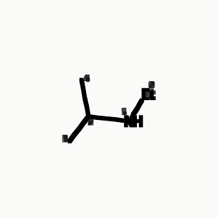 [CH]CNC(C)C